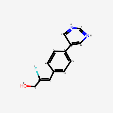 OCC(F)=Cc1ccc(-c2cncnc2)cc1